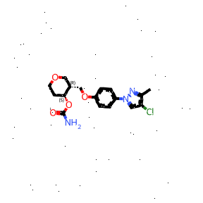 Cc1nn(-c2ccc(OC[C@H]3COCC[C@@H]3OC(N)=O)cc2)cc1Cl